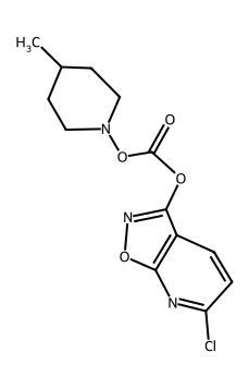 CC1CCN(OC(=O)Oc2noc3nc(Cl)ccc23)CC1